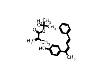 C=C(C)C(=O)OC(C)(C)C.CC(=CC=Cc1ccccc1)c1ccc(O)cc1